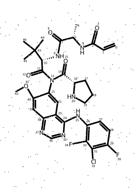 C=CC(=O)N[C@@H](C)C(=O)N[C@H](C(=O)N(C(=O)[C@@H]1CCCN1)c1cc2c(Nc3ccc(F)c(Cl)c3F)ncnc2cc1OC)C(C)(C)C